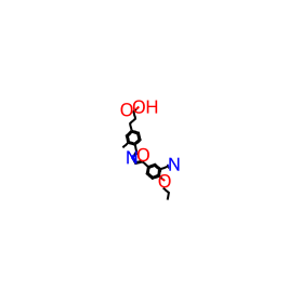 CCCOc1ccc(-c2cnc(-c3ccc(CCC(=O)O)cc3C)o2)cc1C#N